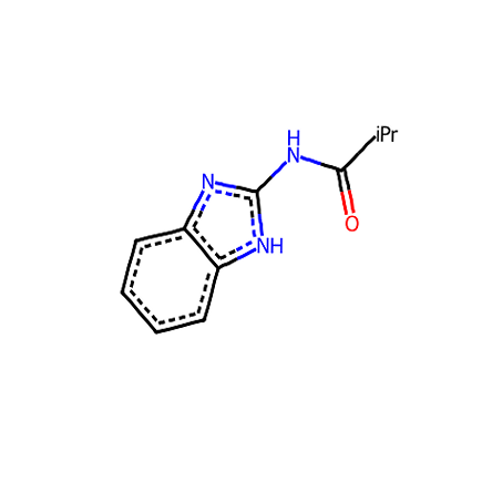 CC(C)C(=O)Nc1nc2ccccc2[nH]1